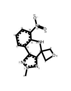 Cn1nc2c(n1)C1(COC1)Nc1c-2cccc1[N+](=O)[O-]